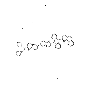 c1ccc2c(c1)cc(-c1ccc3cc(-c4ccc5nc(-c6c7ccccc7c(-c7ccc8ccc9cccnc9c8n7)c7ccccc67)ccc5c4)ccc3n1)c1ccccc12